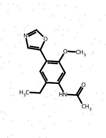 CCc1cc(-c2cnco2)c(OC)cc1NC(C)=O